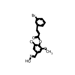 COc1cc(/C=N/O)cc(Cl)c1OC(=O)/C=C/c1cccc(Br)c1